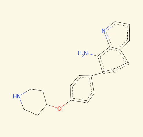 Nc1c(-c2ccc(OC3CCNCC3)cc2)ccc2cccnc12